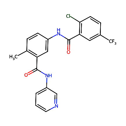 Cc1ccc(NC(=O)c2cc(C(F)(F)F)ccc2Cl)cc1C(=O)Nc1cccnc1